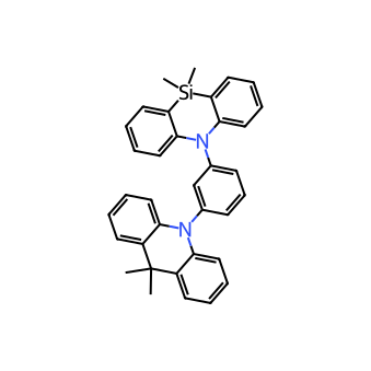 CC1(C)c2ccccc2N(c2cccc(N3c4ccccc4[Si](C)(C)c4ccccc43)c2)c2ccccc21